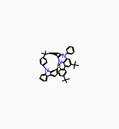 CC(C)(C)c1ccc2c(c1)-c1cc(C(C)(C)C)cc3c1N1B2c2ccc4c5ccccc5n(c4c2)-c2ccc(cc2)C(C)(C)c2ccc1c(c2)N3c1ccccc1